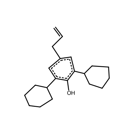 C=CCc1cc(C2CCCCC2)c(O)c(C2CCCCC2)c1